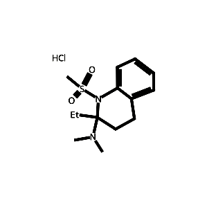 CCC1(N(C)C)CCc2ccccc2N1S(C)(=O)=O.Cl